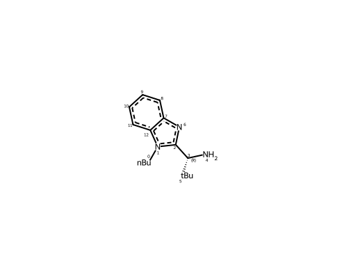 CCCCn1c([C@H](N)C(C)(C)C)nc2ccccc21